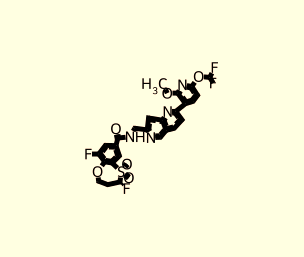 COc1nc(OC(F)F)ccc1-c1ccc2cnc(CNC(=O)c3cc(F)c4c(c3)S(=O)(=O)[C@@H](F)CCO4)cc2n1